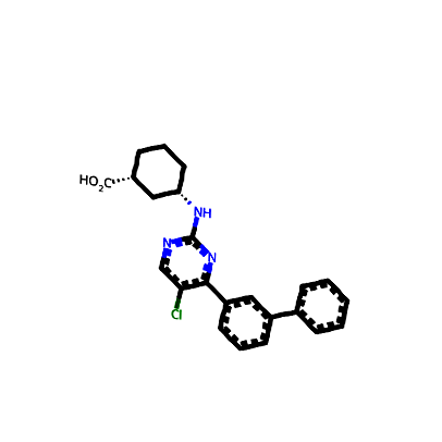 O=C(O)[C@@H]1CCC[C@H](Nc2ncc(Cl)c(-c3cccc(-c4ccccc4)c3)n2)C1